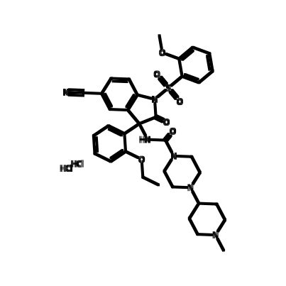 CCOc1ccccc1C1(NC(=O)N2CCN(C3CCN(C)CC3)CC2)C(=O)N(S(=O)(=O)c2ccccc2OC)c2ccc(C#N)cc21.Cl.Cl